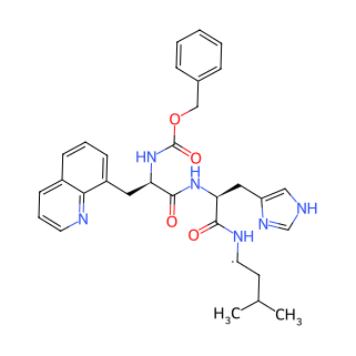 CC(C)C[CH]NC(=O)[C@H](Cc1c[nH]cn1)NC(=O)[C@@H](Cc1cccc2cccnc12)NC(=O)OCc1ccccc1